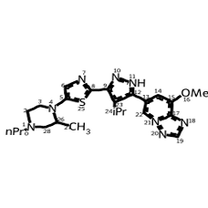 CCCN1CCN(c2cnc(-c3n[nH]c(-c4cc(OC)c5ncnn5c4)c3C(C)C)s2)C(C)C1